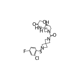 O=C1CO[C@H]2CCN(C(=O)N3CC4(CN(Sc5ccc(F)cc5Cl)C4)C3)C[C@H]2N1